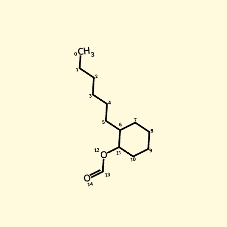 CCCCCCC1CCCCC1OC=O